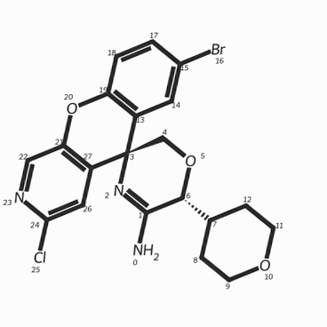 NC1=N[C@@]2(CO[C@@H]1C1CCOCC1)c1cc(Br)ccc1Oc1cnc(Cl)cc12